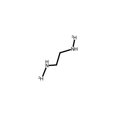 [2H]NCCN[2H]